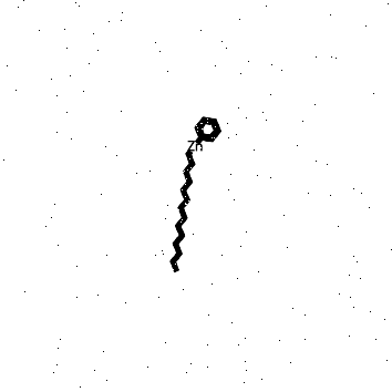 CCCCCCCCCCCCC[CH2][Zn][c]1ccccc1